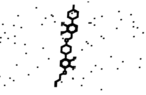 C=CCCOc1ccc(C2CCC(OCc3ccc(C4CCC(C)CC4)c(F)c3F)CC2)c(F)c1F